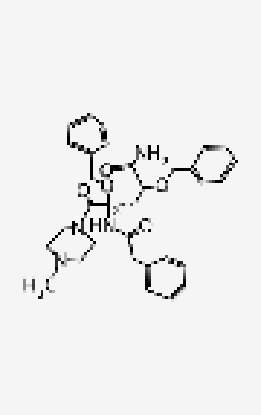 CN1CCN(C(=O)[C@](CC(OCc2ccccc2)C(N)=O)(NC(=O)Cc2ccccc2)OCc2ccccc2)CC1